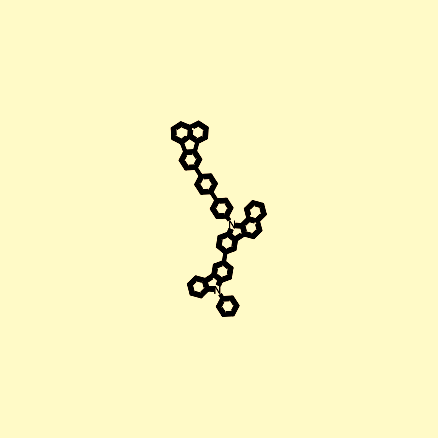 c1ccc(-n2c3ccccc3c3cc(-c4ccc5c(c4)c4ccc6ccccc6c4n5-c4ccc(-c5ccc(-c6ccc7c(c6)-c6cccc8cccc-7c68)cc5)cc4)ccc32)cc1